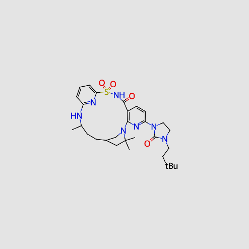 CC1CCC2CN(c3nc(N4CCN(CCC(C)(C)C)C4=O)ccc3C(=O)NS(=O)(=O)c3cccc(n3)N1)C(C)(C)C2